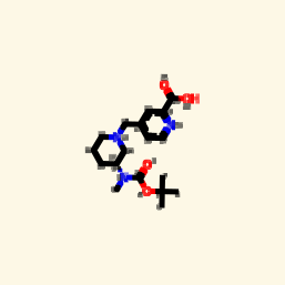 CN(C(=O)OC(C)(C)C)[C@@H]1CCCN(Cc2ccnc(C(=O)O)c2)C1